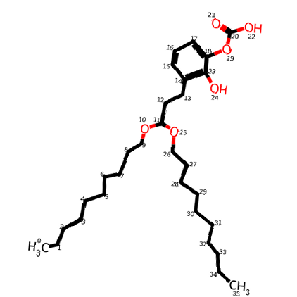 CCCCCCCCCCOC(CCc1cccc(OC(=O)O)c1O)OCCCCCCCCCC